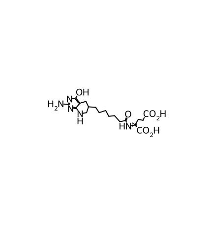 Nc1nc(O)c2c(n1)NCC(CCCCCCC(=O)N[C@@H](CCC(=O)O)C(=O)O)C2